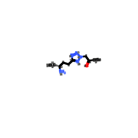 COC(=O)Cn1nnc(CC[C@H](N)C(=O)O)n1